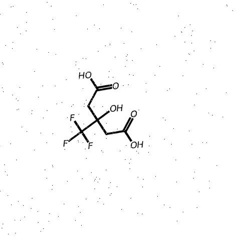 O=C(O)CC(O)(CC(=O)O)C(F)(F)F